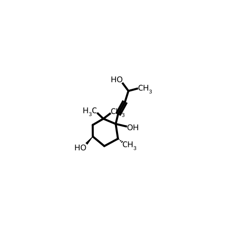 CC(O)C#CC1(O)[C@H](C)C[C@@H](O)CC1(C)C